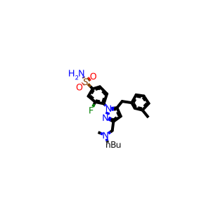 CCCCN(C)Cc1cc(Cc2cccc(C)c2)n(-c2ccc(S(N)(=O)=O)cc2F)n1